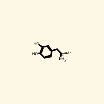 CC(=O)[C@@H](N)Cc1ccc(O)c(O)c1